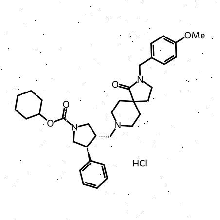 COc1ccc(CN2CCC3(CCN(C[C@H]4CN(C(=O)OC5CCCCC5)C[C@@H]4c4ccccc4)CC3)C2=O)cc1.Cl